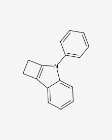 c1ccc(-n2c3c(c4ccccc42)CC3)cc1